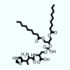 CCCCCCCCC(=O)OCC(COC(=O)CCCCCCCC)OP(=O)(O)OCC(NC(=O)C(N)C(C)c1c[nH]cn1)C(=O)O